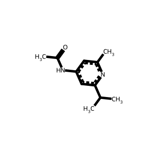 CC(=O)Nc1cc(C)nc(C(C)C)c1